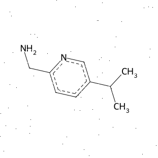 CC(C)c1ccc(CN)nc1